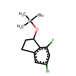 CC(C)(C)[Si](C)(C)OC1CCc2cc(Br)cc(F)c21